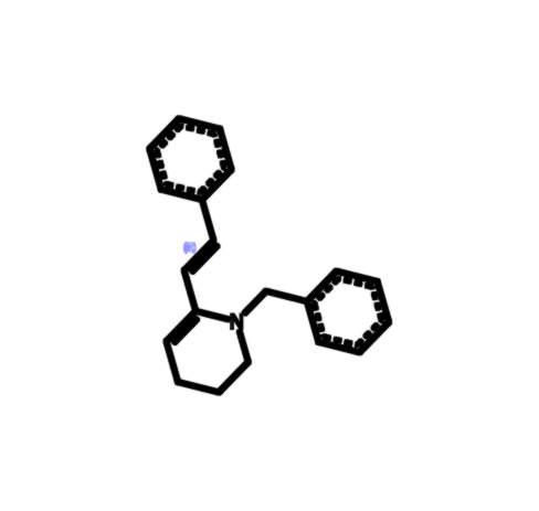 C1=C(/C=C/c2ccccc2)N(Cc2ccccc2)CCC1